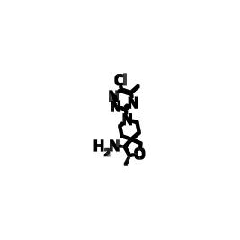 Cc1nc(N2CCC3(CC2)CO[C@@H](C)[C@H]3N)nnc1Cl